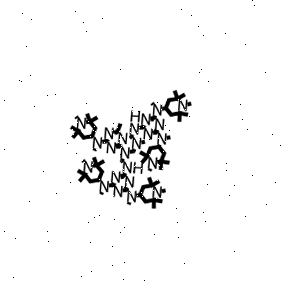 Cc1nc(N(CNc2nc(N(C)C3CC(C)(C)N(C)C(C)(C)C3)nc(N(C)C3CC(C)(C)N(C)C(C)(C)C3)n2)CN(C)CNc2nc(N(C)C3CC(C)(C)N(C)C(C)(C)C3)nc(N(C)C3CC(C)(C)N(C)C(C)(C)C3)n2)nc(N(C)C2CC(C)(C)N(C)C(C)(C)C2)n1